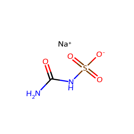 NC(=O)NS(=O)(=O)[O-].[Na+]